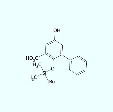 CC(C)(C)[Si](C)(C)Oc1c(C(=O)O)cc(O)cc1-c1ccccc1